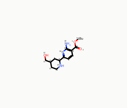 CC(C)(C)OC(=O)c1ccc(C2CC(CO)CCN2)nc1N